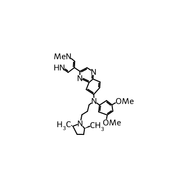 CN/C=C(\C=N)c1cnc2ccc(N(CCCN3[C@@H](C)CC[C@@H]3C)c3cc(OC)cc(OC)c3)cc2n1